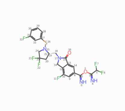 N=C(OC(=N)C(F)F)c1cc(F)c2c(c1)C(=O)N(C[C@@H]1CC(F)(F)CN1Sc1cccc(F)c1)C2